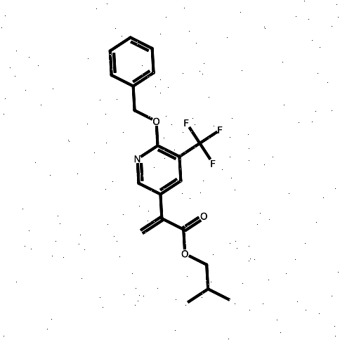 C=C(C(=O)OCC(C)C)c1cnc(OCc2ccccc2)c(C(F)(F)F)c1